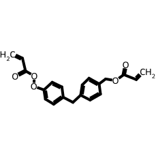 C=CC(=O)OCc1ccc(Cc2ccc(OOC(=O)C=C)cc2)cc1